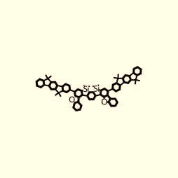 CC1(C)c2ccccc2-c2cc3c(cc21)-c1ccc(-c2cc4c(c5c2oc2ccccc25)-c2ccc5c(c2[Si]4(C)C)[Si](C)(C)c2cc(-c4ccc6c(c4)C(C)(C)c4cc7c(cc4-6)C(C)(C)c4ccccc4-7)c4c(oc6ccccc64)c2-5)cc1C3(C)C